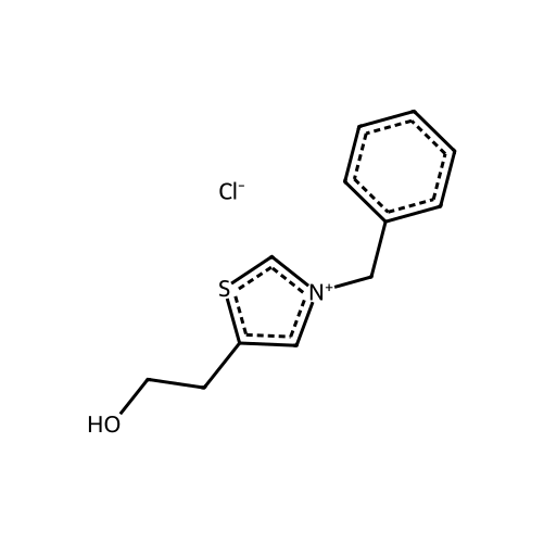 OCCc1c[n+](Cc2ccccc2)cs1.[Cl-]